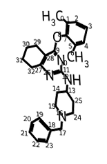 Cc1cccc(C)c1Oc1nc(NC2CCN(Cc3ccccc3)CC2)nc2c1CCCC2